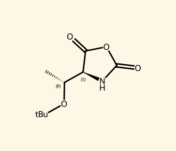 C[C@@H](OC(C)(C)C)[C@@H]1NC(=O)OC1=O